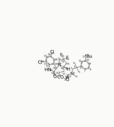 CN(CC(C)(C)c1cccc(C(C)(C)C)c1)C(=O)[C@@H]1C(C(=O)O)[C@@]2(C(=O)Nc3c(Cl)cc(Cl)cc32)N2CC(F)(F)C[C@H]12